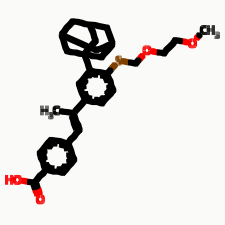 COCCOCSc1ccc(C(C)=Cc2ccc(C(=O)O)cc2)cc1C12CC3CC(CC(C3)C1)C2